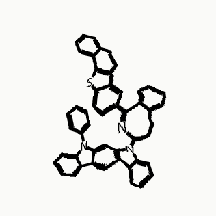 c1ccc(-n2c3ccccc3c3cc4c5ccccc5n(C5CCc6ccccc6C(c6ccc7sc8c9ccccc9ccc8c7c6)=N5)c4cc32)cc1